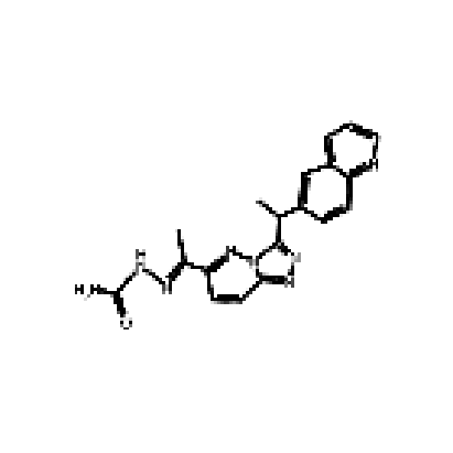 C/C(=N\NC(N)=O)c1ccc2nnc(C(C)c3ccc4ncccc4c3)n2n1